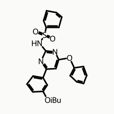 CC(C)COc1cccc(-c2cc(Oc3ccccc3)nc(NS(=O)(=O)c3ccccc3)n2)c1